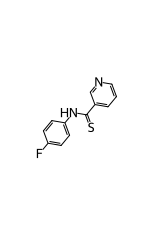 Fc1ccc(NC(=S)c2cccnc2)cc1